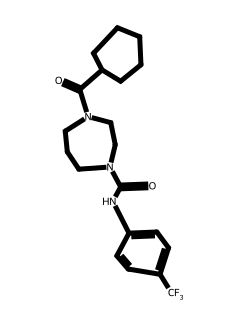 O=C(Nc1ccc(C(F)(F)F)cc1)N1CCCN(C(=O)C2CCCCC2)CC1